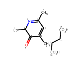 CCC1N=C(C)C=C(C)C1=O.O=C(O)CCC(=O)O